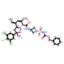 CC/C=C(\C=C(\C)CC(=O)NC1CN(S(=O)(=O)NC(=O)OCc2ccccc2)C1)C1=NOC(c2cc(Cl)c(F)c(Cl)c2)(C(F)(F)F)C1